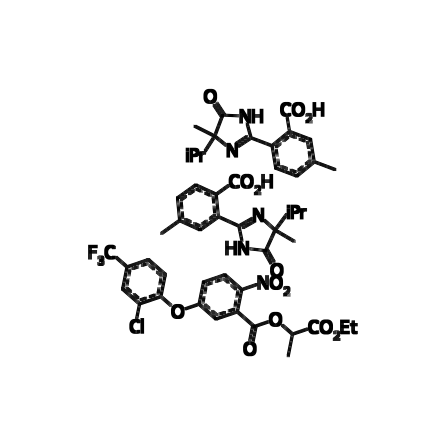 CCOC(=O)C(C)OC(=O)c1cc(Oc2ccc(C(F)(F)F)cc2Cl)ccc1[N+](=O)[O-].Cc1ccc(C(=O)O)c(C2=NC(C)(C(C)C)C(=O)N2)c1.Cc1ccc(C2=NC(C)(C(C)C)C(=O)N2)c(C(=O)O)c1